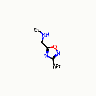 CCCc1noc(CNCC)n1